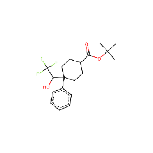 CC(C)(C)OC(=O)C1CCC(c2ccccc2)(C(O)C(F)(F)F)CC1